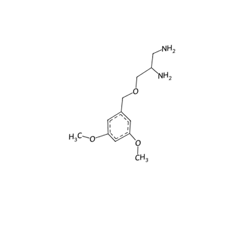 COc1cc(COCC(N)CN)cc(OC)c1